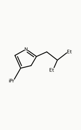 CCC(CC)CC1=NC=C(C(C)C)C1